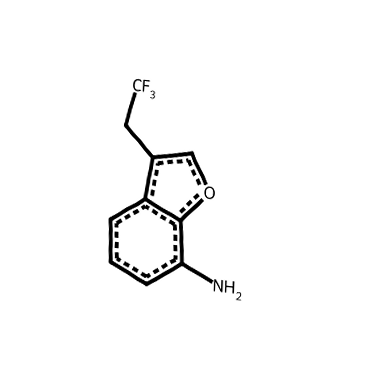 Nc1cccc2c(CC(F)(F)F)coc12